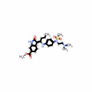 CCCC(Nc1ccc(N(CCN(C)C)S(C)(=O)=O)cc1)=C1C(=O)Nc2cc(C(=O)OC)ccc21